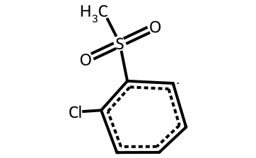 CS(=O)(=O)c1[c]cccc1Cl